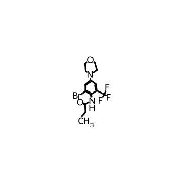 CCCC(=O)Nc1c(Br)cc(N2CCOCC2)cc1C(F)(F)F